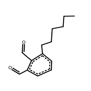 CCCCCCc1cccc(C=O)c1C=O